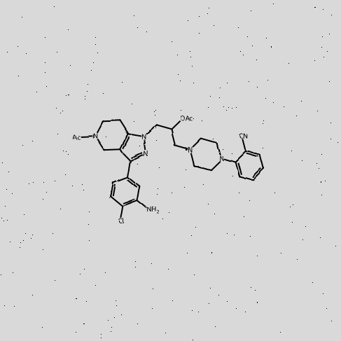 CC(=O)OC(CN1CCN(c2ccccc2C#N)CC1)Cn1nc(-c2ccc(Cl)c(N)c2)c2c1CCN(C(C)=O)C2